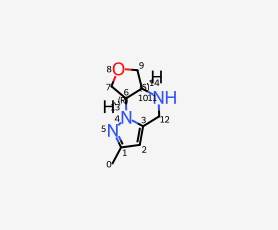 Cc1cc2n(n1)[C@H]1COC[C@H]1NC2